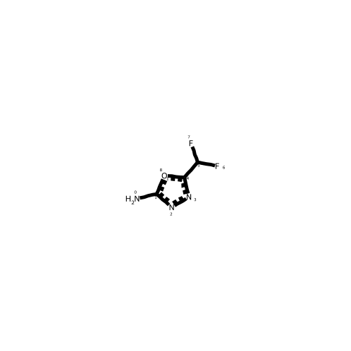 Nc1nnc(C(F)F)o1